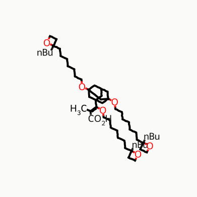 CCCCC1(CCCCCCCOC(=C(C)C(=O)O)C23CC4CC(OCCCCCCCC5(CCCC)CCO5)(CC(OCCCCCCCC5(CCCC)CCO5)(C4)C2)C3)CCO1